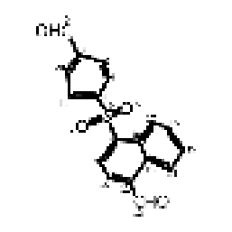 O=Cc1ccc(S(=O)(=O)c2ccc(C=O)c3ccccc23)cc1